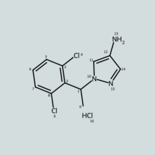 CC(c1c(Cl)cccc1Cl)n1cc(N)cn1.Cl